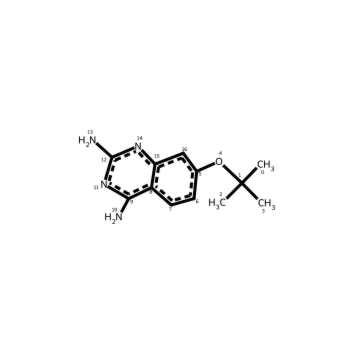 CC(C)(C)Oc1ccc2c(N)nc(N)nc2c1